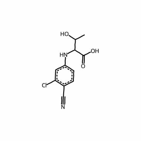 CC(O)C(Nc1ccc(C#N)c(Cl)c1)C(=O)O